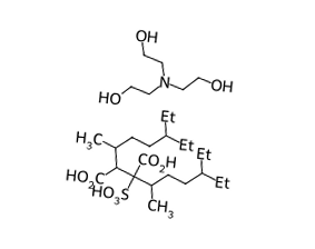 CCC(CC)CCC(C)C(C(=O)O)C(C(=O)O)(C(C)CCC(CC)CC)S(=O)(=O)O.OCCN(CCO)CCO